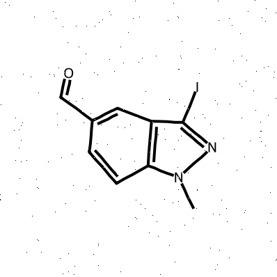 Cn1nc(I)c2cc(C=O)ccc21